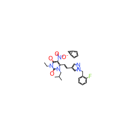 CCn1c(=O)c([N+](=O)[O-])c(C=Cc2cnn(Cc3ccccc3F)c2)n(CC(C)C)c1=O.c1cc2cc-2c1